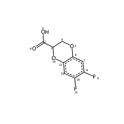 O=C(O)C1COc2cc(F)c(F)cc2O1